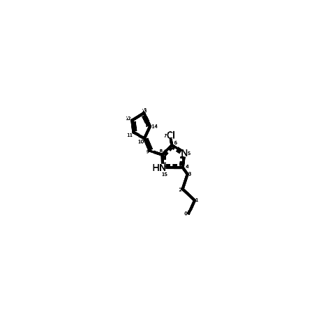 CCCCc1nc(Cl)c(C=C2C=CC=C2)[nH]1